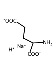 NC(CCC(=O)[O-])C(=O)[O-].[H+].[Na+]